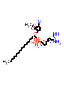 CCCCCCCCCCCCCCCCCCC[C@H](COP(=O)(O)OC[C@]1(N)CC[C@H](c2ccc(/C(N)=N\C=N)[nH]2)O1)OCc1ccc(C#N)c(OC(C)C)c1